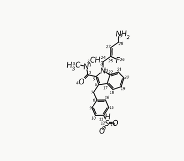 CN(C)C(=O)c1c(Cc2ccc([SH](=O)=O)cc2)c2ccccc2n1C/C(F)=C/CN